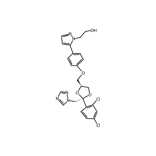 OCCn1nccc1-c1ccc(OC[C@H]2CO[C@@](Cn3cncn3)(c3ccc(Cl)cc3Cl)O2)cc1